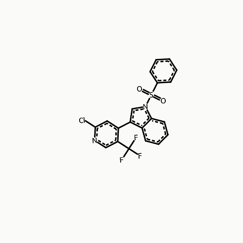 O=S(=O)(c1ccccc1)n1cc(-c2cc(Cl)ncc2C(F)(F)F)c2ccccc21